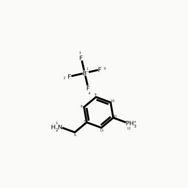 F[B-](F)(F)F.NCc1cccc([PH3+])c1